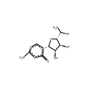 Nc1ncn([C@@H]2O[C@H](C(O)[SiH2])[C@@H](O)[C@H]2O)c(=O)n1